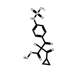 CC(C)(C)OC(=O)C(Cl)(C(=O)c1ccc(NS(C)(=O)=O)cc1)C(=O)C1CC1